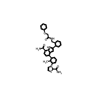 Cc1c(-c2ccc(C(N)=O)c3[nH]c(-c4ccccc4CNC(=O)COc4ccccc4)cc23)cccc1N1C=CSC1C(N)=O